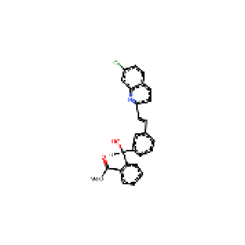 CC[C@@](O)(c1cccc(/C=C/c2ccc3ccc(Cl)cc3n2)c1)c1ccccc1C(=O)OC